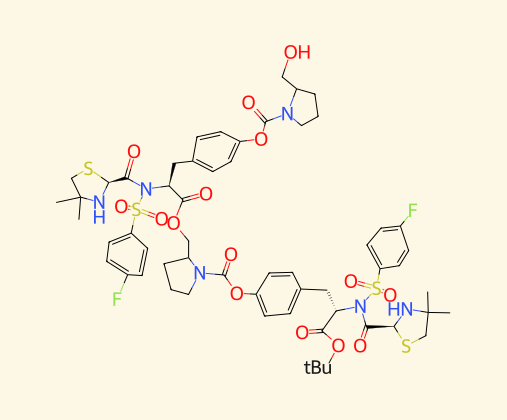 CC1(C)CS[C@@H](C(=O)N([C@@H](Cc2ccc(OC(=O)N3CCCC3CO)cc2)C(=O)OCC2CCCN2C(=O)Oc2ccc(C[C@@H](C(=O)OC(C)(C)C)N(C(=O)[C@H]3NC(C)(C)CS3)S(=O)(=O)c3ccc(F)cc3)cc2)S(=O)(=O)c2ccc(F)cc2)N1